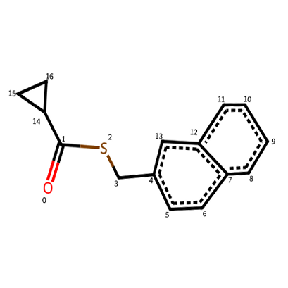 O=C(SCc1ccc2ccccc2c1)C1CC1